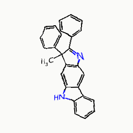 CC1(c2ccccc2)C(c2ccccc2)=Nc2cc3c(cc21)[nH]c1ccccc13